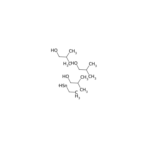 CC(C)CO.CC(C)CO.CC(C)CO.C[CH2][SnH]